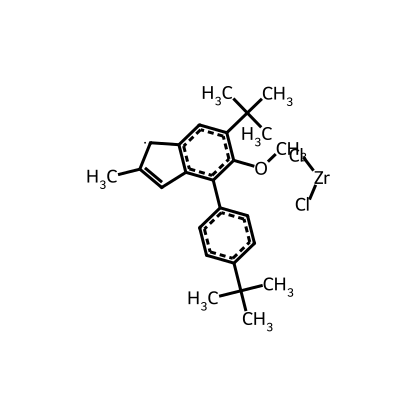 COc1c(C(C)(C)C)cc2c(c1-c1ccc(C(C)(C)C)cc1)C=C(C)[CH]2.[Cl][Zr][Cl]